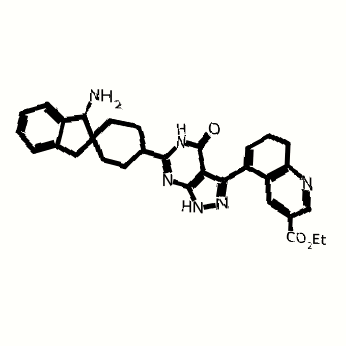 CCOC(=O)c1cnc2c(c1)C(c1n[nH]c3nc(C4CCC5(CC4)Cc4ccccc4[C@H]5N)[nH]c(=O)c13)=CCC2